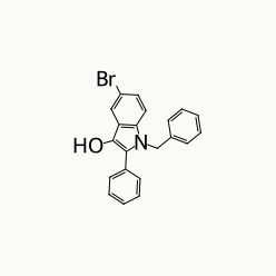 Oc1c(-c2ccccc2)n(Cc2ccccc2)c2ccc(Br)cc12